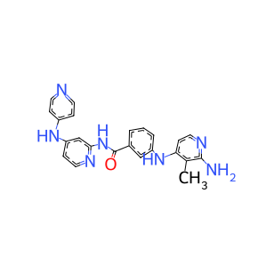 Cc1c(Nc2cccc(C(=O)Nc3cc(Nc4ccncc4)ccn3)c2)ccnc1N